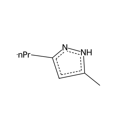 CC[CH]c1cc(C)[nH]n1